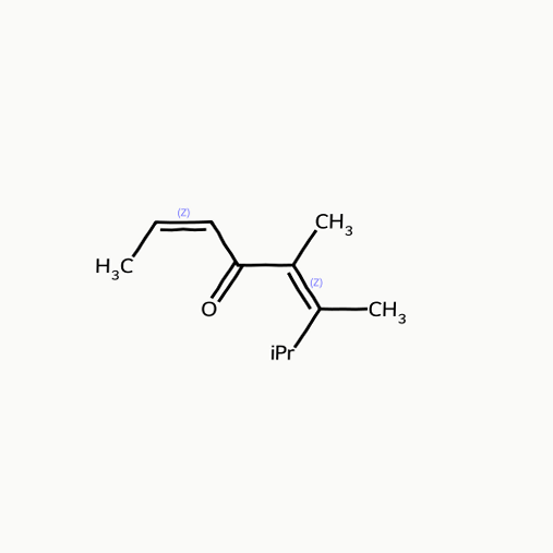 C/C=C\C(=O)/C(C)=C(/C)C(C)C